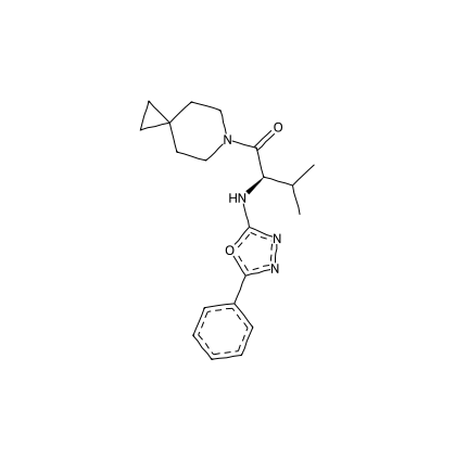 CC(C)[C@@H](Nc1nnc(-c2ccccc2)o1)C(=O)N1CCC2(CC1)CC2